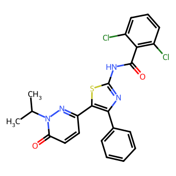 CC(C)n1nc(-c2sc(NC(=O)c3c(Cl)cccc3Cl)nc2-c2ccccc2)ccc1=O